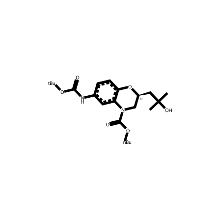 CCCCOC(=O)N1C[C@H](CC(C)(C)O)Oc2ccc(NC(=O)OC(C)(C)C)cc21